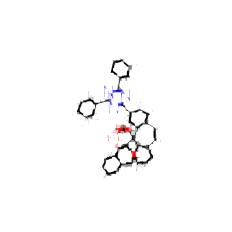 C1=Cc2ccc(-c3nc(-c4ccccc4)nc(-c4ccccc4)n3)cc2C2(c3ccccc31)c1ccccc1Oc1c2ccc2ccccc12